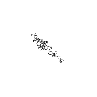 CCC(=O)O[C@]1(C(=O)O)CC[C@H]2[C@@H]3CCC4=Cc5c(cnn5-c5cccc(C(=O)NC6CCS(=O)(=O)C6)c5)C[C@]4(C)[C@H]3[C@@H](O)C[C@@]21C